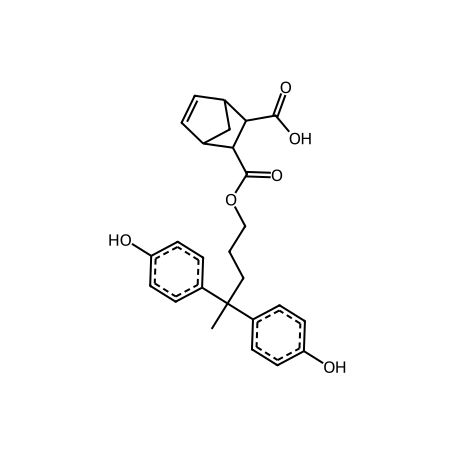 CC(CCCOC(=O)C1C2C=CC(C2)C1C(=O)O)(c1ccc(O)cc1)c1ccc(O)cc1